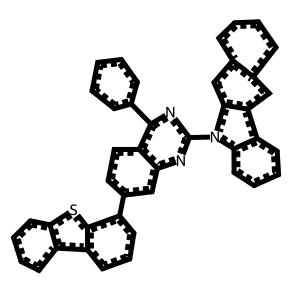 c1ccc(-c2nc(-n3c4ccccc4c4cc5ccccc5cc43)nc3cc(-c4cccc5c4sc4ccccc45)ccc23)cc1